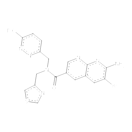 Nc1nc2ncc(C(=O)N(Cc3cscn3)Cc3ccc(C(F)(F)F)nn3)cc2cc1Br